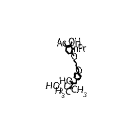 CCCc1c(OCCCOc2ccc(CC(O)C(C)(C)C(=O)O)cc2)ccc(C(C)=O)c1O